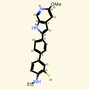 CCNc1ccc(-c2ccc(-c3cc4cc(OC)ncc4[nH]3)cc2)cc1F